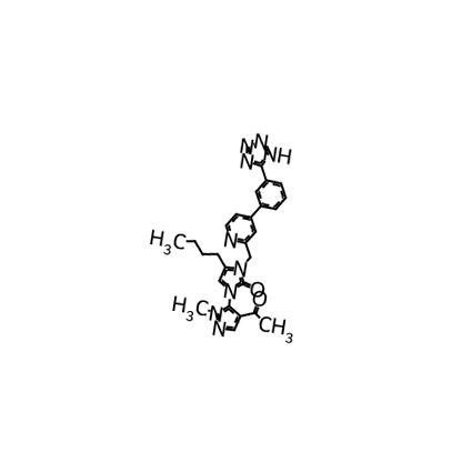 CCCCc1cn(-c2c(C(C)=O)cnn2C)c(=O)n1Cc1cc(-c2cccc(-c3nnn[nH]3)c2)ccn1